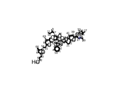 C=C1C(C[C@@H]2O[C@H](C[C@H](C)CC)[C@H](OC)[C@H]2C(C(O)CC2CCC3O[C@@H]([C@H](/C=C/I)O[Si](C)(C)C(C)(C)C)[C@@H](C)[C@@H](C)C3O2)S(=O)(=O)c2ccccc2)OC(CC[C@@H]2O[C@@H](CCCO)CC2=C)C[C@H]1C